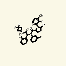 N#Cc1ccnc(N2C(=O)CC[C@H]2C(=O)N(c2cccc(F)c2)[C@H](C(=O)NC2CC(F)(F)C2)c2ccccc2Cl)c1F